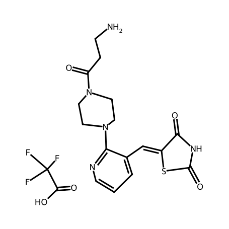 NCCC(=O)N1CCN(c2ncccc2/C=C2\SC(=O)NC2=O)CC1.O=C(O)C(F)(F)F